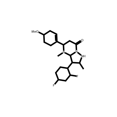 COC1CC=C(C2CC(=O)N3NC(C)C(C4CCC(F)CC4F)C3N2C)CC1